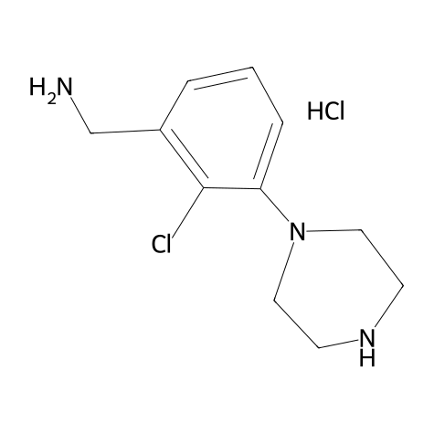 Cl.NCc1cccc(N2CCNCC2)c1Cl